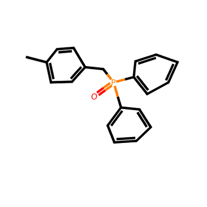 Cc1ccc(CP(=O)(c2ccccc2)c2ccccc2)cc1